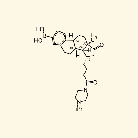 CC(C)N1CCN(C(=O)CCC[C@H]2CC(=O)[C@@]3(C)CC[C@@H]4c5ccc(B(O)O)cc5CC[C@H]4[C@H]23)CC1